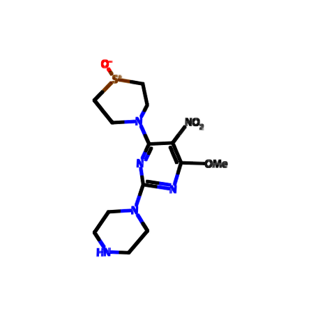 COc1nc(N2CCNCC2)nc(N2CC[S+]([O-])CC2)c1[N+](=O)[O-]